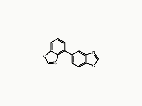 [c]1nc2c(-c3ccc4ocnc4c3)cccc2o1